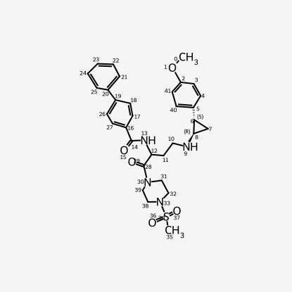 COc1ccc([C@@H]2C[C@H]2NCCC(NC(=O)c2ccc(-c3ccccc3)cc2)C(=O)N2CCN(S(C)(=O)=O)CC2)cc1